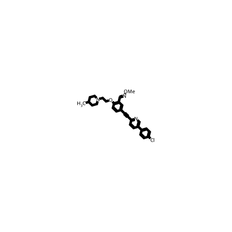 CON=Cc1cc(C#Cc2ccc(-c3ccc(Cl)cc3)cn2)ccc1OCCN1CCC(C)CC1